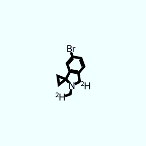 [2H]CN1C([2H])c2ccc(Br)cc2C12CC2